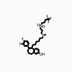 CN(CCCCCCC1=C(c2ccc(F)c(F)c2)CCCc2cc(O)ccc21)CCCS(=O)(=O)CCCC(F)(F)F